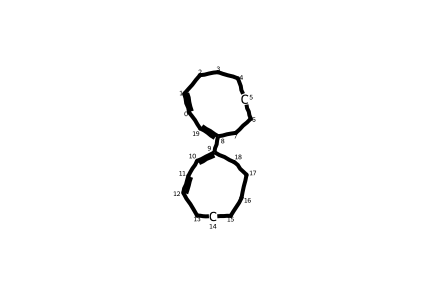 C1=CCCCCCCC(C2=CC=CCCCCCC2)=C1